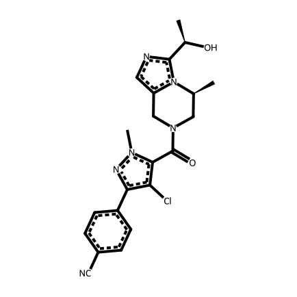 C[C@@H](O)c1ncc2n1[C@@H](C)CN(C(=O)c1c(Cl)c(-c3ccc(C#N)cc3)nn1C)C2